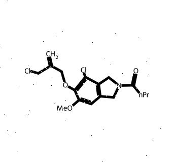 C=C(CCl)COc1c(OC)cc2c(c1Cl)CN(C(=O)CCC)C2